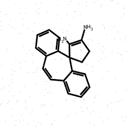 NC1=C(N)C2(CC1)c1ccccc1C=Cc1ccccc12